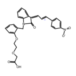 O=C(O)COCCOc1ccccc1CN1C(=O)C(=C/C=C/c2ccc([N+](=O)[O-])cc2)c2ccccc21